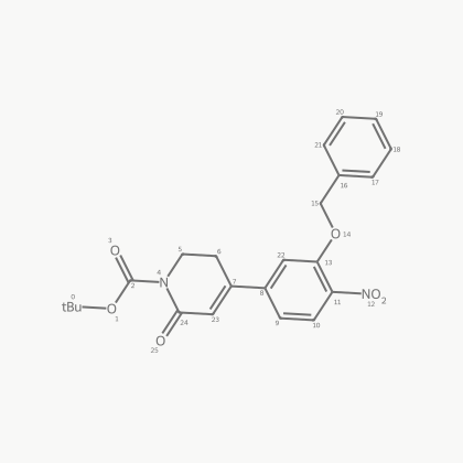 CC(C)(C)OC(=O)N1CCC(c2ccc([N+](=O)[O-])c(OCc3ccccc3)c2)=CC1=O